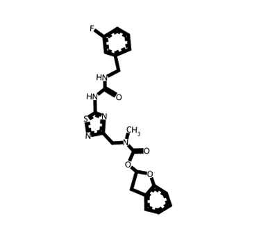 CN(Cc1nsc(NC(=O)NCc2cccc(F)c2)n1)C(=O)OC1Cc2ccccc2O1